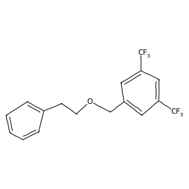 FC(F)(F)c1cc(COCCc2ccccc2)cc(C(F)(F)F)c1